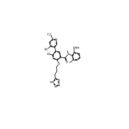 COc1cccc(F)c1N(C)C(=O)c1cc(-c2cnc(C(F)(F)F)cc2C#N)c(Cl)cc1OCCCc1nnn[nH]1